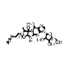 CC(OCCN=[N+]=[N-])C1(O)C(O)Nc2nc3c(ncn3[C@@H]3O[C@H](CO)C(O)C3O)c(=O)n21